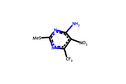 CSc1nc(N)c([N+](=O)[O-])c(C(F)(F)F)n1